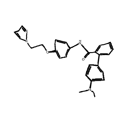 CN(C)c1ccc(-c2ccccc2C(=O)Nc2ccc(OCCn3cccn3)cc2)cc1